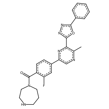 Cc1ncc(-c2ccc(C(=O)N3CCCNCC3)c(F)c2)nc1-c1nnc(-c2ccccc2)o1